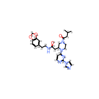 CC(C)CC(=O)N1CCN(c2ccnc(-n3ccnc3)n2)C(CC(=O)NCCc2ccc3c(c2)OCO3)C1